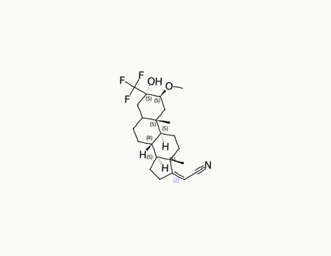 CO[C@H]1C[C@@]2(C)C(CC[C@@H]3[C@@H]2CC[C@]2(C)/C(=C\C#N)CC[C@@H]32)C[C@@]1(O)C(F)(F)F